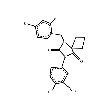 N#Cc1ncc(N2C(=O)N(Cc3ccc(Br)cc3F)C3(CCC3)C2=O)cc1C(F)(F)F